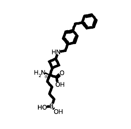 N[C@](CCCCB(O)O)(C(=O)O)C1CC(NCc2ccc(Cc3ccccc3)cc2)C1